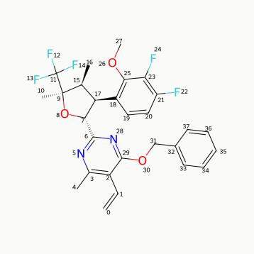 C=Cc1c(C)nc([C@@H]2O[C@@](C)(C(F)(F)F)[C@@H](C)[C@H]2c2ccc(F)c(F)c2OC)nc1OCc1ccccc1